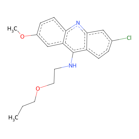 CCCOCCNc1c2ccc(Cl)cc2nc2ccc(OC)cc12